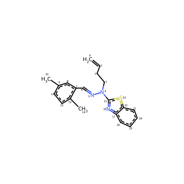 C=CCCN(/N=C/c1cc(C)ccc1C)c1nc2ccccc2s1